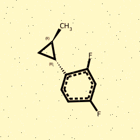 C[C@@H]1C[C@H]1c1ccc(F)cc1F